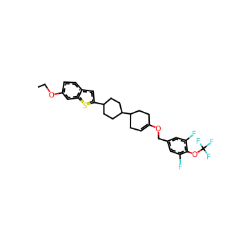 CCOc1ccc2cc(C3CCC(C4CC=C(OCc5cc(F)c(OC(F)(F)F)c(F)c5)CC4)CC3)sc2c1